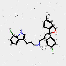 CN(CCCc1c[nH]c2c(F)cccc12)CCCC1(c2ccc(F)cc2)OCc2cc(C#N)ccc21